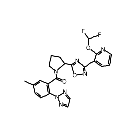 Cc1ccc(-n2nccn2)c(C(=O)N2CCCC2c2nc(-c3cccnc3OC(F)F)no2)c1